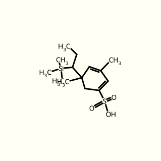 CCC(C1(C)C=C(C)C=C(S(=O)(=O)O)C1)[Si](C)(C)C